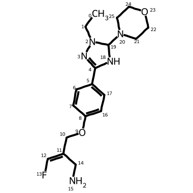 CCN1N=C(c2ccc(OC/C(=C/F)CN)cc2)NC1N1CCOCC1